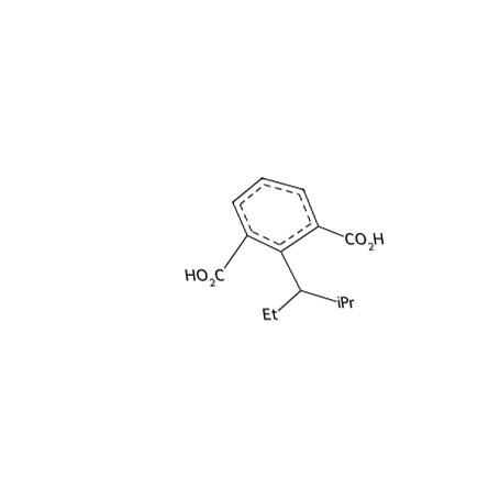 CCC(c1c(C(=O)O)cccc1C(=O)O)C(C)C